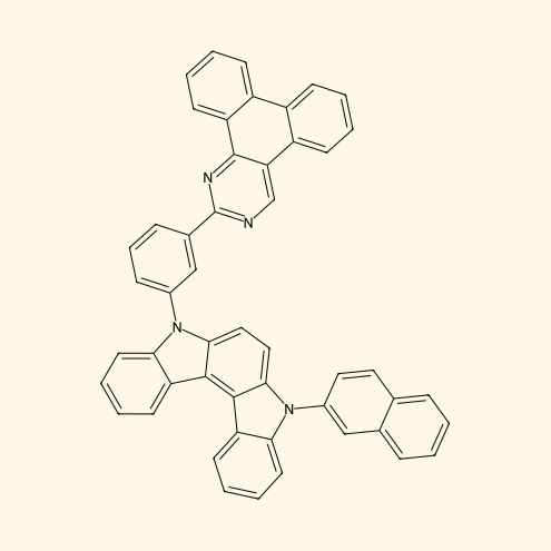 c1cc(-c2ncc3c4ccccc4c4ccccc4c3n2)cc(-n2c3ccccc3c3c4c5ccccc5n(-c5ccc6ccccc6c5)c4ccc32)c1